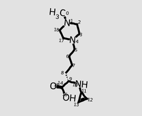 CN1CCN(CCCC[C@H](NC2C=C2)C(=O)O)CC1